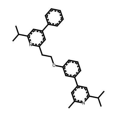 Cc1cc(-c2cccc(OCCc3cc(-c4ccccc4)cc(C(C)C)n3)c2)cc(C(C)C)n1